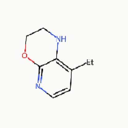 CCc1ccnc2c1NCCO2